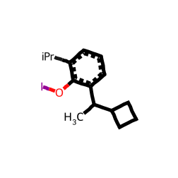 CC(C)c1cccc(C(C)C2CCC2)c1OI